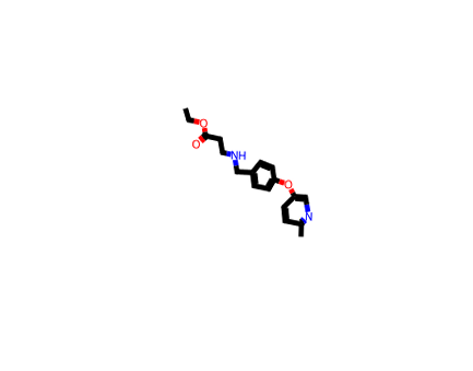 CCOC(=O)CCNCc1ccc(Oc2ccc(C)nc2)cc1